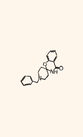 O=C1NC2(CCN(Cc3ccccc3)CC2)Oc2ccccc21